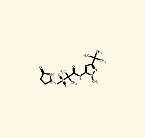 Cn1nc(C(C)(C)C)cc1NC(=O)C(C)(C)S(=O)(=O)C[C@@H]1CCC(=O)N1